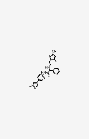 Cc1cc(C#N)nn1CCNC(C(=O)Nc1ccc(-c2cnn(C)c2)cn1)c1ccccc1